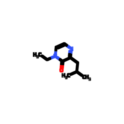 CCn1ccnc(CC(C)C)c1=O